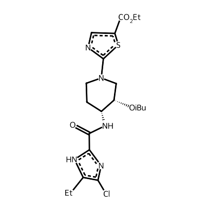 CCOC(=O)c1cnc(N2CC[C@@H](NC(=O)c3nc(Cl)c(CC)[nH]3)[C@@H](OCC(C)C)C2)s1